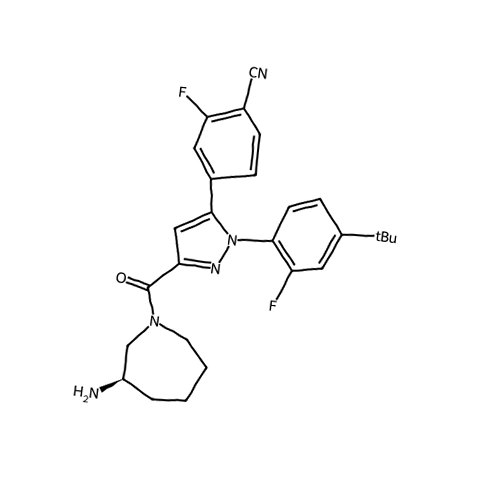 CC(C)(C)c1ccc(-n2nc(C(=O)N3CCCC[C@@H](N)C3)cc2-c2ccc(C#N)c(F)c2)c(F)c1